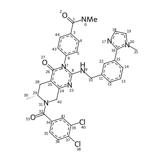 CNC(=O)c1ccc(-n2c(NCc3cccc(-c4nccn4C)c3)nc3c(c2=O)C[C@@H](C)N(C(=O)c2ccc(Cl)c(Cl)c2)C3)cc1